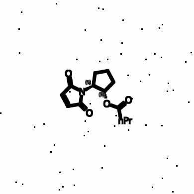 CCCC(=O)O[C@H]1CCC[C@@H]1N1C(=O)C=CC1=O